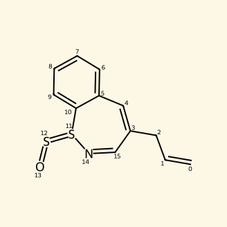 C=CCC1=Cc2ccccc2S(=S=O)N=C1